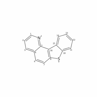 c1cnc2c(c1)ccc1sc3ccccc3c12